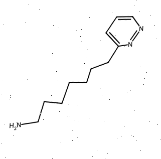 NCCCCCCCc1cccnn1